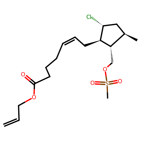 C=CCOC(=O)CCC/C=C\C[C@@H]1[C@@H](COS(C)(=O)=O)[C@H](C)C[C@H]1Cl